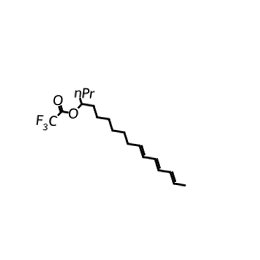 C/C=C/C=C/C=C/CCCCCCC(CCC)OC(=O)C(F)(F)F